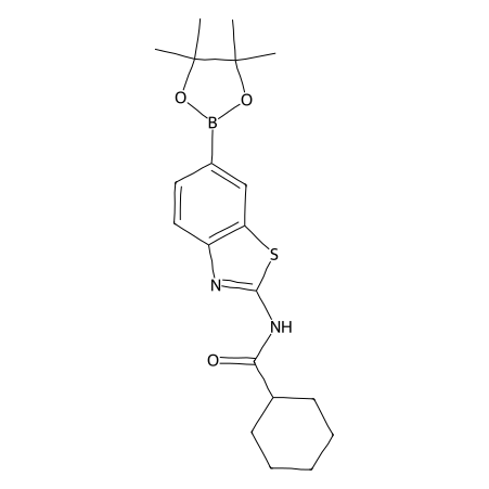 CC1(C)OB(c2ccc3nc(NC(=O)C4CCCCC4)sc3c2)OC1(C)C